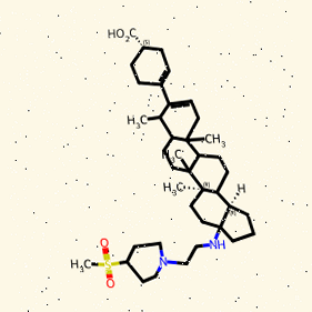 CC1C(C2=CC[C@@H](C(=O)O)CC2)=CCC2(C)C1CCC1(C)C2CCC2[C@H]3CCCC3(NCCN3CCC(S(C)(=O)=O)CC3)CC[C@]21C